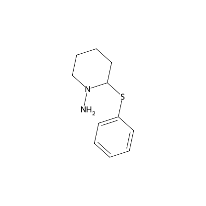 NN1CCCCC1Sc1ccccc1